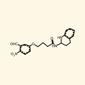 O=Cc1cc(OCCCC(=O)NC2CCc3ccccc3N2)ccc1[N+](=O)[O-]